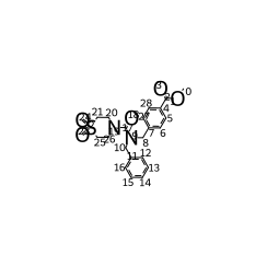 COC(=O)c1ccc(CN(Cc2ccccc2)C(=O)N2CCS(=O)(=O)CC2)cc1